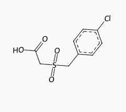 O=C(O)CS(=O)(=O)Cc1ccc(Cl)cc1